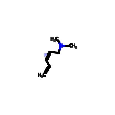 C=C/C=C\CN(C)C